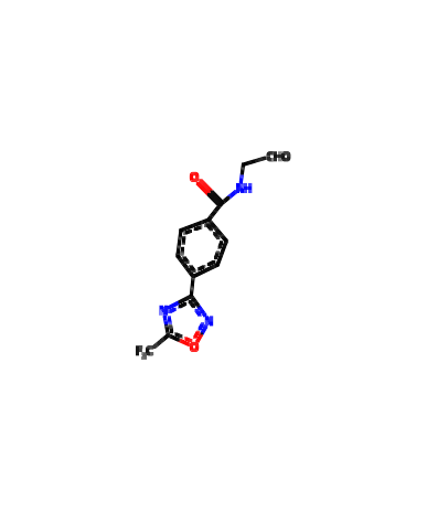 O=CCNC(=O)c1ccc(-c2noc(C(F)(F)F)n2)cc1